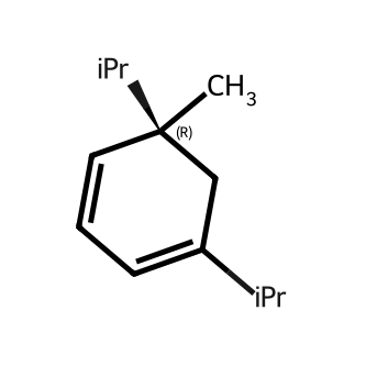 CC(C)C1=CC=C[C@@](C)(C(C)C)C1